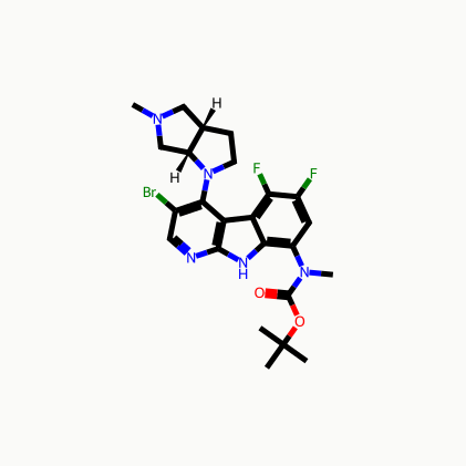 CN1C[C@@H]2CCN(c3c(Br)cnc4[nH]c5c(N(C)C(=O)OC(C)(C)C)cc(F)c(F)c5c34)[C@@H]2C1